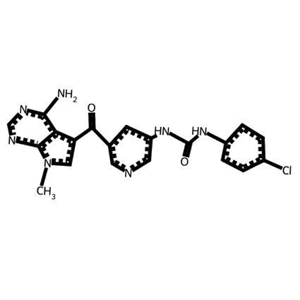 Cn1cc(C(=O)c2cncc(NC(=O)Nc3ccc(Cl)cc3)c2)c2c(N)ncnc21